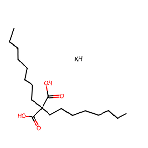 CCCCCCCCC(CCCCCCCC)(C(=O)O)C(=O)O.[KH]